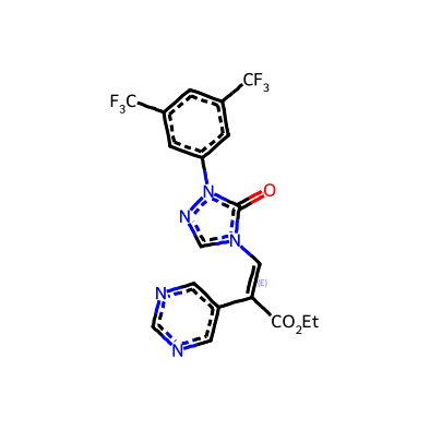 CCOC(=O)/C(=C/n1cnn(-c2cc(C(F)(F)F)cc(C(F)(F)F)c2)c1=O)c1cncnc1